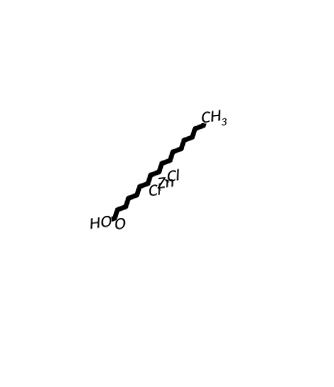 CCCCCCCCCCCCCCCCCC(=O)O.[Cl][Zn][Cl]